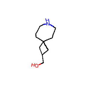 OCC1CC2(CCNCC2)C1